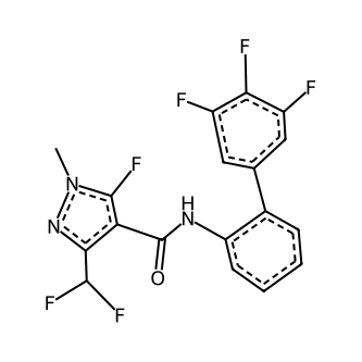 Cn1nc(C(F)F)c(C(=O)Nc2ccccc2-c2cc(F)c(F)c(F)c2)c1F